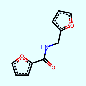 O=C(NCc1ccco1)c1ccco1